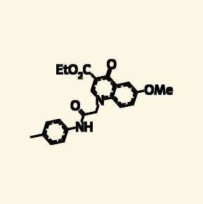 CCOC(=O)c1cn(CC(=O)Nc2ccc(C)cc2)c2ccc(OC)cc2c1=O